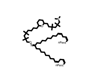 CCCCC/C=C\C/C=C\CCCCCCCCC(CCCCCCCC/C=C\C/C=C\CCCCC)=NOCC(C)(C)CC(C)(C)CCCCC1CCCC(CCC(C)(C)CC(C)(C)CN(C)C)O1